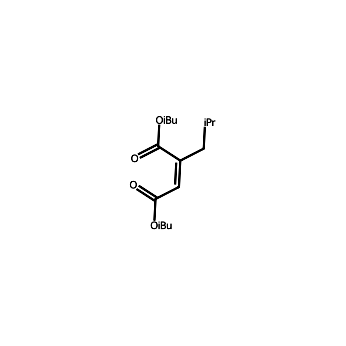 CC(C)COC(=O)C=C(CC(C)C)C(=O)OCC(C)C